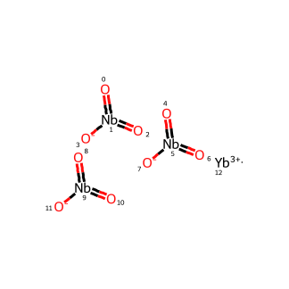 [O]=[Nb](=[O])[O-].[O]=[Nb](=[O])[O-].[O]=[Nb](=[O])[O-].[Yb+3]